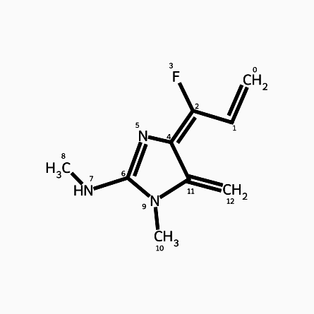 C=C/C(F)=c1/nc(NC)n(C)c1=C